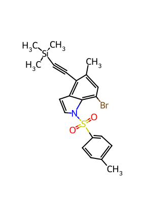 Cc1ccc(S(=O)(=O)n2ccc3c(C#C[Si](C)(C)C)c(C)cc(Br)c32)cc1